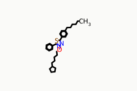 CCCCCCc1ccc(C2=NN(OCCCCCC3CCCC3)C(c3ccccc3)S2)cc1